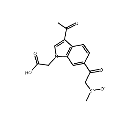 CC(=O)c1cn(CC(=O)O)c2cc(C(=O)C[S+](C)[O-])ccc12